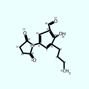 CCCCc1cc(N2C(=O)CCC2=O)cc(C=O)c1O